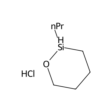 CCC[SiH]1CCCCO1.Cl